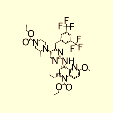 CCOC(=O)N1CCN(c2cnc(N[C@H]3C[C@@H](CC)N(C(=O)OCC)c4ccc(OC)nc43)nc2Cc2cc(C(F)(F)F)cc(C(F)(F)F)c2)C(C)C1